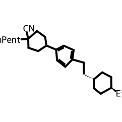 CCCCCC1(C#N)CCC(c2ccc(CC[C@H]3CC[C@H](CC)CC3)cc2)CC1